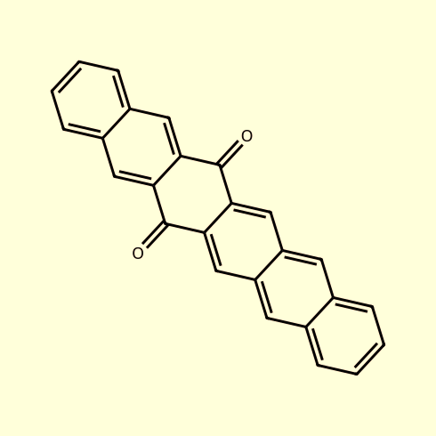 O=C1c2cc3ccccc3cc2C(=O)c2cc3cc4ccccc4cc3cc21